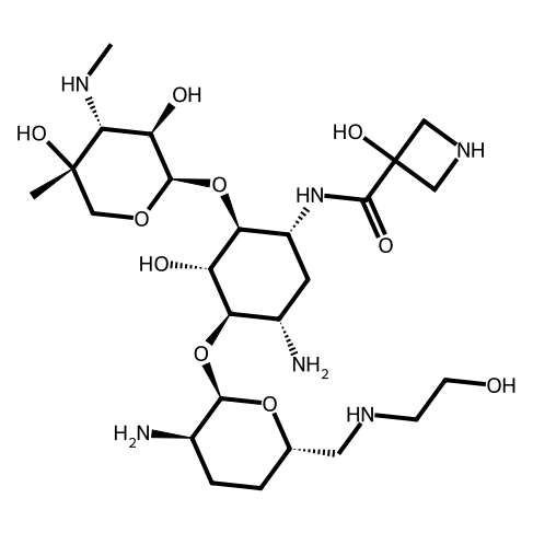 CN[C@@H]1[C@@H](O)[C@@H](O[C@@H]2[C@@H](O)[C@H](O[C@H]3O[C@H](CNCCO)CC[C@H]3N)[C@@H](N)C[C@H]2NC(=O)C2(O)CNC2)OC[C@]1(C)O